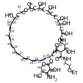 CCOCCNC(=O)C1[C@@H]2CC(O[C@@H]3OC[C@@H](O)[C@H](N)[C@@H]3O)/C=C/C=C/C=C/C=C/C=C/C=C/C=C/[C@H](C)[C@@H](O)C[C@H](C)OC(=O)CC(O)CC(O)CCC(O)[C@H](O)CC(O)CC(O)(C[C@@H]1O)O2